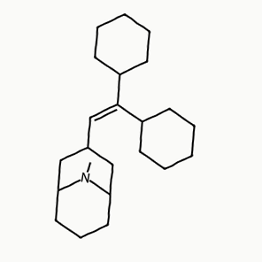 CN1C2CCCC1CC(C=C(C1CCCCC1)C1CCCCC1)C2